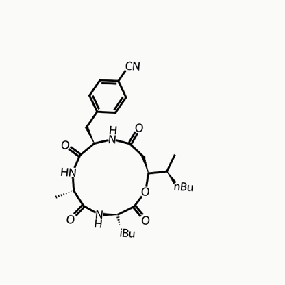 CCCC[C@H](C)[C@@H]1CC(=O)N[C@H](Cc2ccc(C#N)cc2)C(=O)N[C@@H](C)C(=O)N[C@H]([C@@H](C)CC)C(=O)O1